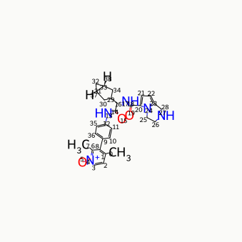 Cc1cc[n+]([O-])c(C)c1-c1ccc(NC(=O)[C@@H](NC(=O)c2ccc3n2CCNC3)C2C[C@@H]3C[C@@H]3C2)cc1